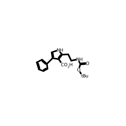 CC(C)(C)OC(=O)NCCc1[nH]cc(-c2ccccc2)c1C(=O)O